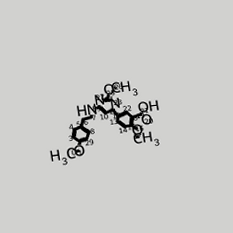 COc1ccc(CCNc2cc(-c3ccc(OC)c(C(=O)O)c3)nc(OC)n2)cc1